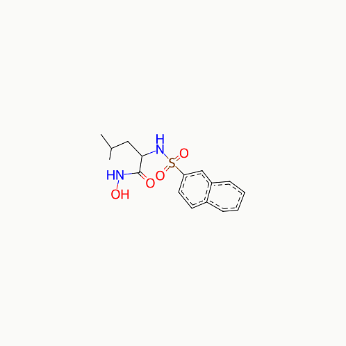 CC(C)CC(NS(=O)(=O)c1ccc2ccccc2c1)C(=O)NO